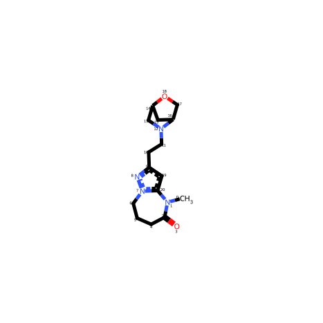 CN1C(=O)CCCn2nc(CCN3CC4CC3CO4)cc21